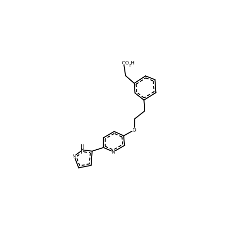 O=C(O)Cc1cccc(CCOc2ccc(-c3ccn[nH]3)nc2)c1